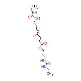 CCNC(=O)NCCCOC(=O)/C=C/C(=O)OCCCNC(=O)NCC